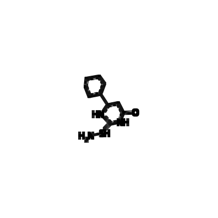 N[SH]=c1[nH]c(-c2ccccc2)cc(=O)[nH]1